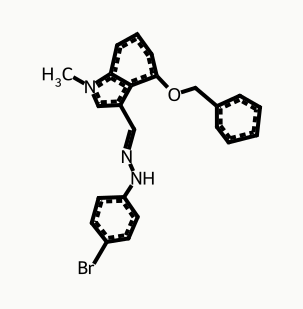 Cn1cc(/C=N/Nc2ccc(Br)cc2)c2c(OCc3ccccc3)cccc21